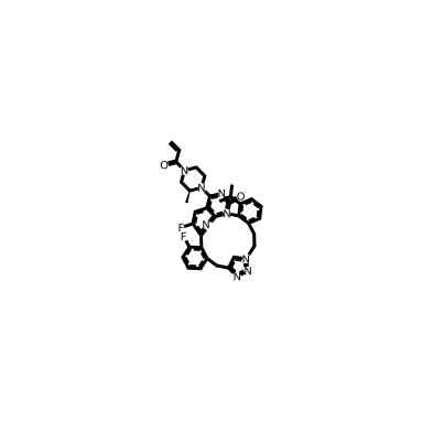 C=CC(=O)N1CCN(c2nc(=O)n3c4nc(c(F)cc24)-c2c(F)cccc2Cc2cn(nn2)CCc2cccc(C(C)C)c2-3)[C@@H](C)C1